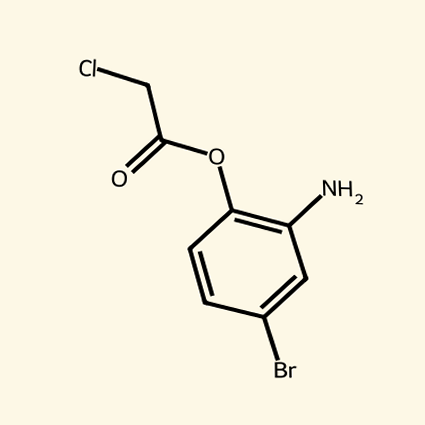 Nc1cc(Br)ccc1OC(=O)CCl